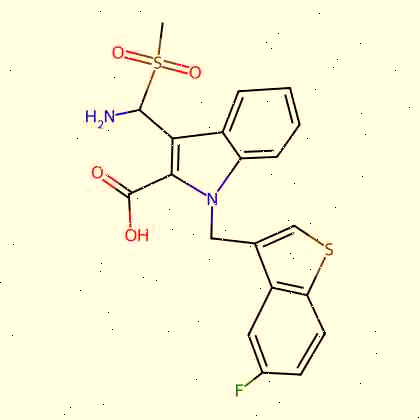 CS(=O)(=O)C(N)c1c(C(=O)O)n(Cc2csc3ccc(F)cc23)c2ccccc12